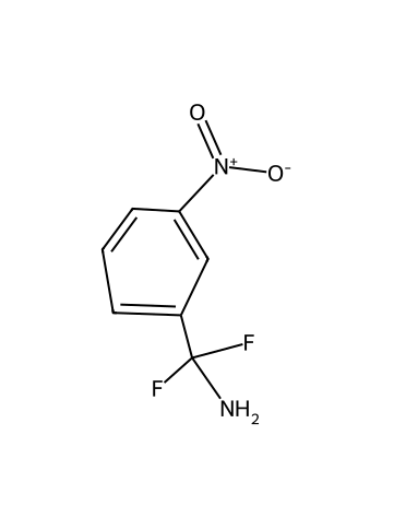 NC(F)(F)c1cccc([N+](=O)[O-])c1